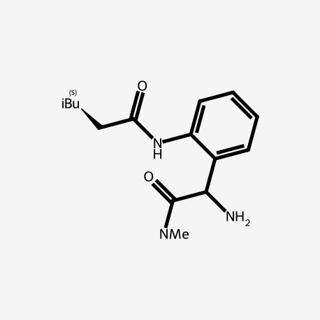 CC[C@H](C)CC(=O)Nc1ccccc1C(N)C(=O)NC